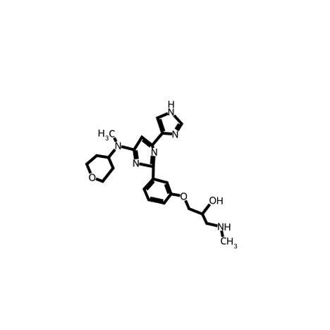 CNCC(O)COc1cccc(-c2nc(-c3c[nH]cn3)cc(N(C)C3CCOCC3)n2)c1